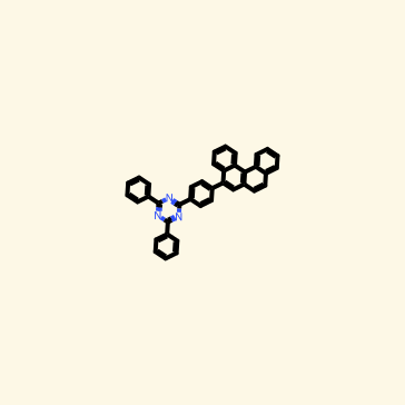 c1ccc(-c2nc(-c3ccccc3)nc(-c3ccc(-c4cc5ccc6ccccc6c5c5ccccc45)cc3)n2)cc1